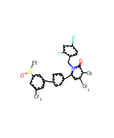 CC[S+]([O-])c1cc(-c2ccc(-c3cc(C(F)(F)F)c(C#N)c(=O)n3Cc3ccc(F)cc3F)cc2)cc(C(F)(F)F)c1